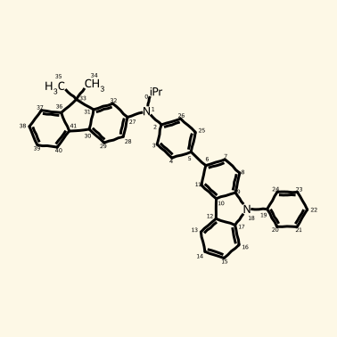 CC(C)N(c1ccc(-c2ccc3c(c2)c2ccccc2n3-c2ccccc2)cc1)c1ccc2c(c1)C(C)(C)c1ccccc1-2